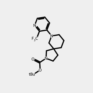 CC(C)(C)OC(=O)N1CCC2(CCCN(c3cccnc3C(F)(F)F)C2)C1